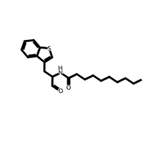 CCCCCCCCCC(=O)NC(C=O)Cc1csc2ccccc12